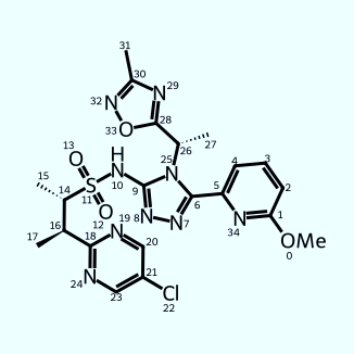 COc1cccc(-c2nnc(NS(=O)(=O)[C@@H](C)[C@H](C)c3ncc(Cl)cn3)n2[C@@H](C)c2nc(C)no2)n1